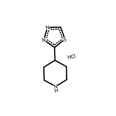 Cl.c1nnc(C2CCNCC2)s1